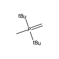 C=P(C)(C(C)(C)C)C(C)(C)C